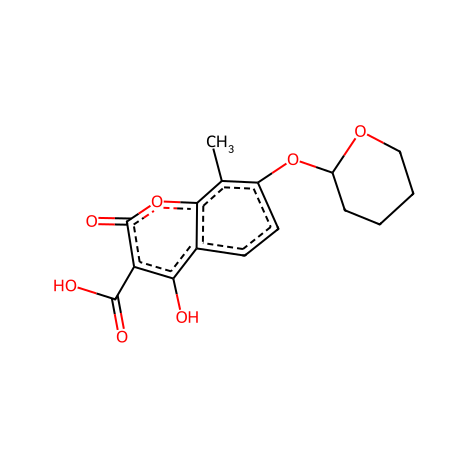 Cc1c(OC2CCCCO2)ccc2c(O)c(C(=O)O)c(=O)oc12